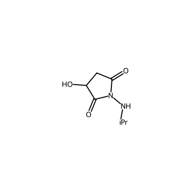 CC(C)NN1C(=O)CC(O)C1=O